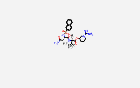 CC(C)[C@@](C)(C(=O)O[C@H]1CCCN(C(=N)N)C1)N(C)C(=O)[C@H](CC(N)=O)NS(=O)(=O)c1ccc2ccccc2c1